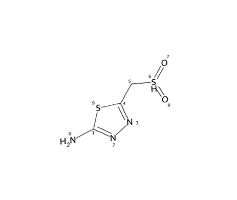 Nc1nnc(C[SH](=O)=O)s1